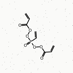 C=CC(=O)OOP(=O)(C=C)OOC(=O)C=C